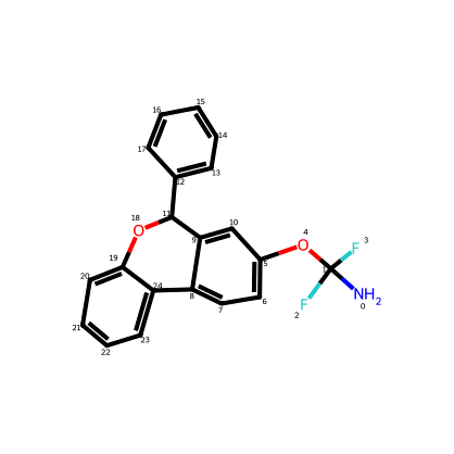 NC(F)(F)Oc1ccc2c(c1)C(c1ccccc1)Oc1ccccc1-2